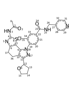 CC(=O)Nc1nc2c(s1)-c1c(c(C3CCCO3)nn1-c1ccc(C(=O)NCc3ccncc3)cc1Cl)CC2